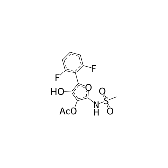 CC(=O)Oc1c(NS(C)(=O)=O)oc(-c2c(F)cccc2F)c1O